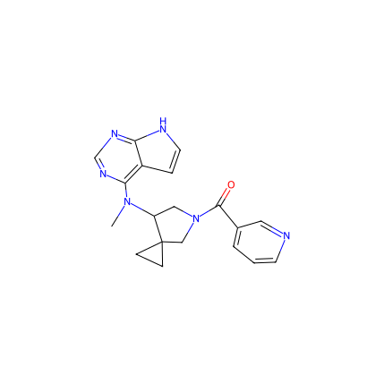 CN(c1ncnc2[nH]ccc12)C1CN(C(=O)c2cccnc2)CC12CC2